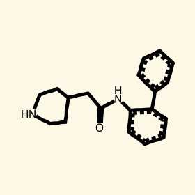 O=C(CC1CCNCC1)Nc1ccccc1-c1ccccc1